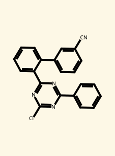 N#Cc1cccc(-c2ccccc2-c2nc(Cl)nc(-c3ccccc3)n2)c1